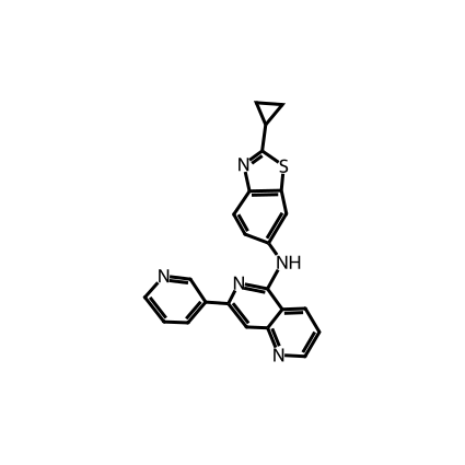 c1cncc(-c2cc3ncccc3c(Nc3ccc4nc(C5CC5)sc4c3)n2)c1